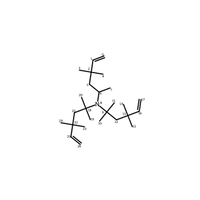 C=CC(C)(C)CC(C)N(C(C)(C)CC(C)(C)C=C)C(C)(C)CC(C)(C)C=C